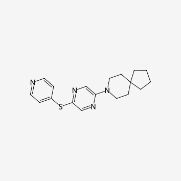 c1cc(Sc2cnc(N3CCC4(CCCC4)CC3)cn2)ccn1